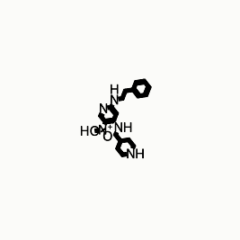 O=[N+](O)c1cnc(NCCc2ccccc2)cc1NCC1CCNCC1